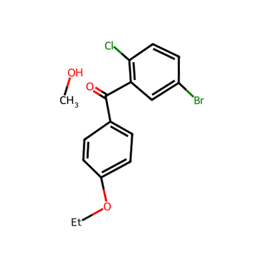 CCOc1ccc(C(=O)c2cc(Br)ccc2Cl)cc1.CO